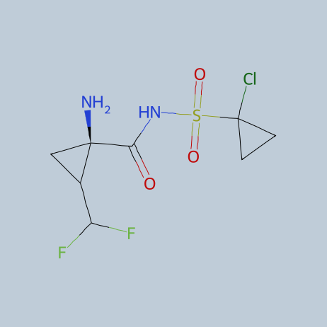 N[C@]1(C(=O)NS(=O)(=O)C2(Cl)CC2)CC1C(F)F